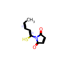 C/C=C\C=C(/S)N1C(=O)C=CC1=O